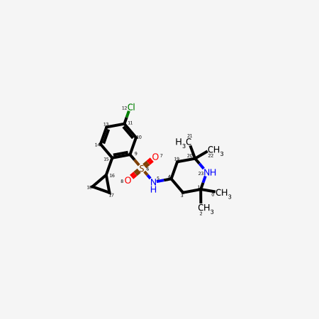 CC1(C)CC(NS(=O)(=O)c2cc(Cl)ccc2C2CC2)CC(C)(C)N1